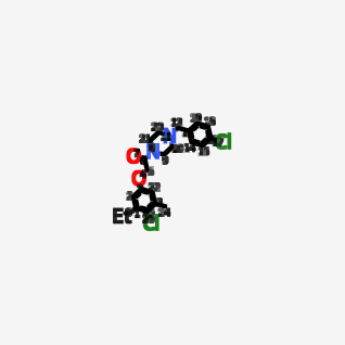 CCc1cc(OCC(=O)N2CCN(Cc3ccc(Cl)cc3)CC2)cc(C)c1Cl